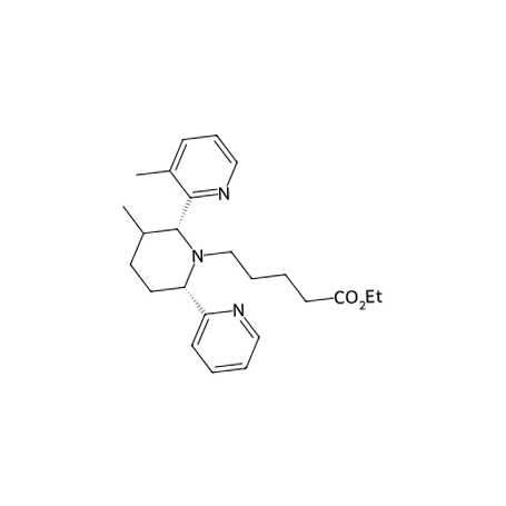 CCOC(=O)CCCCN1[C@H](c2ccccn2)CCC(C)[C@@H]1c1ncccc1C